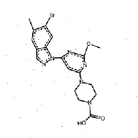 COc1nc(N2CCN(C(=O)O)CC2)cc(-n2ncc3cc(C)c(Br)cc32)n1